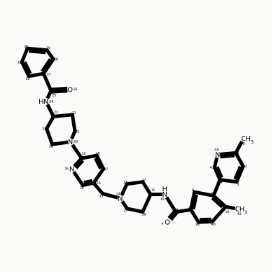 Cc1ccc(-c2cc(C(=O)NC3CCN(Cc4ccc(N5CCC(NC(=O)c6ccccc6)CC5)nc4)CC3)ccc2C)cn1